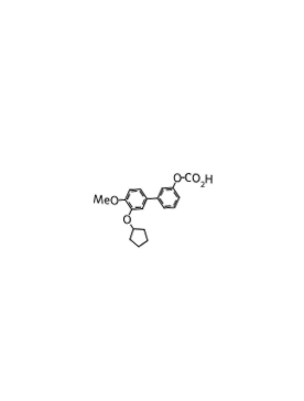 COc1ccc(-c2cccc(OC(=O)O)c2)cc1OC1CCCC1